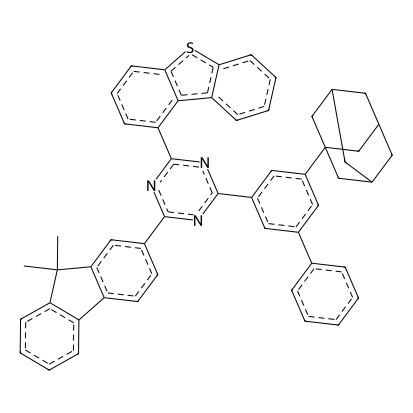 CC1(C)c2ccccc2-c2ccc(-c3nc(-c4cc(-c5ccccc5)cc(C56CC7CC(CC(C7)C5)C6)c4)nc(-c4cccc5sc6ccccc6c45)n3)cc21